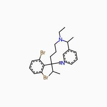 CCN(CCCC(C#N)(c1c(Br)cccc1Br)C(C)C)C(C)c1ccccc1